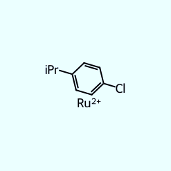 CC(C)c1ccc(Cl)cc1.[Ru+2]